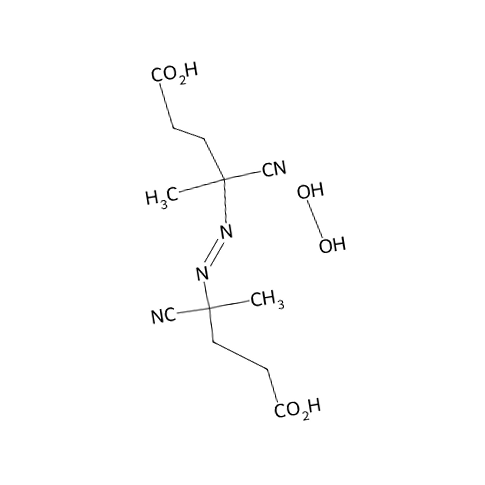 CC(C#N)(CCC(=O)O)N=NC(C)(C#N)CCC(=O)O.OO